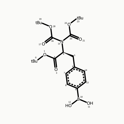 CC(C)(C)OC(=O)[C@H](Cc1ccc(B(O)O)cc1)N(C(=O)OC(C)(C)C)C(=O)OC(C)(C)C